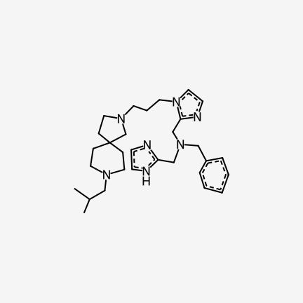 CC(C)CN1CCC2(CC1)CCN(CCCn1ccnc1CN(Cc1ccccc1)Cc1ncc[nH]1)C2